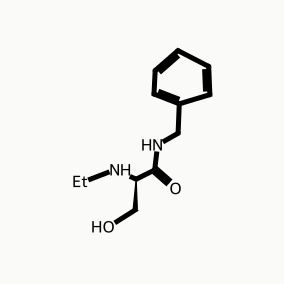 CCN[C@H](CO)C(=O)NCc1ccccc1